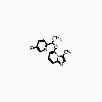 CC(Oc1cccc2ncc(C#N)n12)c1ccc(F)cn1